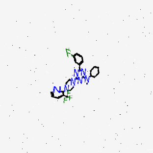 CN(c1nc(-c2cccc(F)c2)nc(N2CCN(c3ncccc3C(F)(F)F)CC2)n1)C1CCCCC1